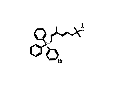 COC(C)(C)CC=CC(C)=CC[P+](c1ccccc1)(c1ccccc1)c1ccccc1.[Br-]